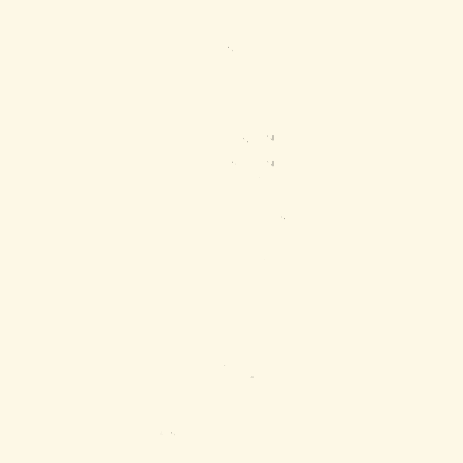 CCN(CC)CCCN1N=C(c2ccc(-c3ccc(C[C@@H]4CC(CNC(C)=O)OC4=O)cc3F)cn2)NN1